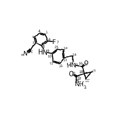 N#Cc1cccc(F)c1Nc1ccc(CNC(=O)C2(C(N)=O)CC2)cc1